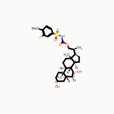 CC[C@H]1[C@@H](O)[C@@H]2[C@H](CC[C@]3(C)[C@@H]([C@H](C)COC(=O)NS(=O)(=O)c4ccc(OC)c(F)c4)CC[C@@H]23)[C@@]2(C)CC[C@@H](O)C[C@@H]12